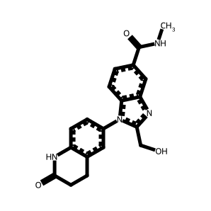 CNC(=O)c1ccc2c(c1)nc(CO)n2-c1ccc2c(c1)CCC(=O)N2